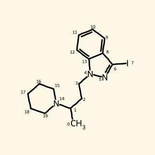 CC(CCn1nc(I)c2ccccc21)N1CCCCC1